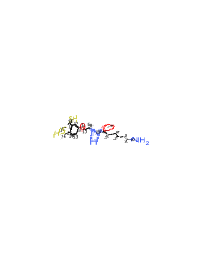 NCCCCCC(=O)NCCOc1ccc(CS)c(CS)c1